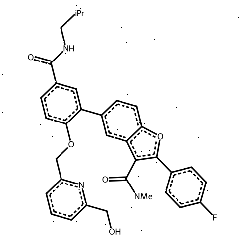 CNC(=O)c1c(-c2ccc(F)cc2)oc2ccc(-c3cc(C(=O)NCC(C)C)ccc3OCc3cccc(CO)n3)cc12